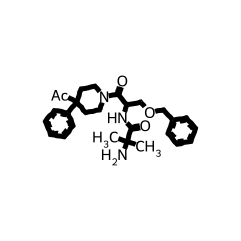 CC(=O)C1(c2ccccc2)CCN(C(=O)C(COCc2ccccc2)NC(=O)C(C)(C)N)CC1